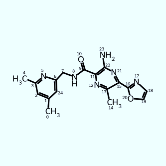 Cc1cc(C)nc(CNC(=O)c2nc(C)c(-c3ncco3)nc2N)c1